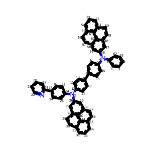 c1ccc(N(c2ccc(-c3ccc(N(c4ccc(-c5ccccn5)cc4)c4cc5ccc6cccc7ccc(c4)c5c67)cc3)cc2)c2cc3ccc4cccc5ccc(c2)c3c45)cc1